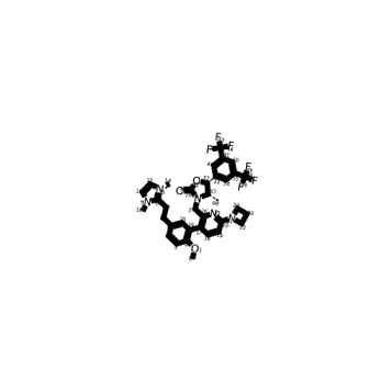 COc1ccc(CCc2n(C)cc[n+]2C)cc1-c1ccc(N2CCC2)nc1CN1C(=O)O[C@H](c2cc(C(F)(F)F)cc(C(F)(F)F)c2)[C@@H]1C